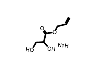 C=CCOC(=O)C(O)CO.[NaH]